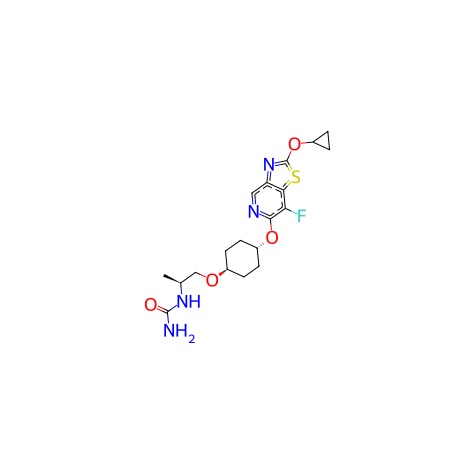 C[C@@H](CO[C@H]1CC[C@H](Oc2ncc3nc(OC4CC4)sc3c2F)CC1)NC(N)=O